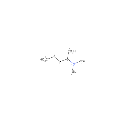 CC(C)(C)N(C(CCC(=O)O)C(=O)O)C(C)(C)C